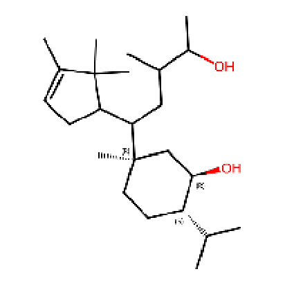 CC1=CCC(C(CC(C)C(C)O)[C@]2(C)CC[C@@H](C(C)C)[C@H](O)C2)C1(C)C